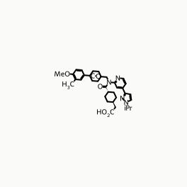 COc1ccc(C23CCC(CN(c4cc(-c5ccn(C(C)C)n5)ccn4)C(=O)[C@H]4CC[C@H](CC(=O)O)CC4)(CC2)CC3)cc1C